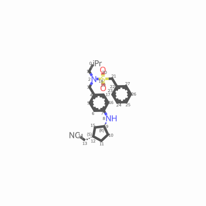 CC(C)CN(Cc1ccc(N[C@@H]2CC[C@H](CC#N)C2)cc1)S(=O)(=O)Cc1ccccc1